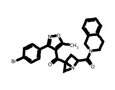 Cc1onc(-c2ccc(Br)cc2)c1C(=O)C12CC(C(=O)N3CCc4ccccc4C3)N1C2